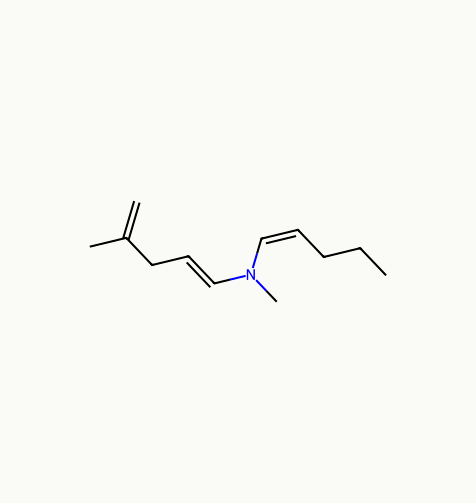 C=C(C)C/C=C/N(C)/C=C\CCC